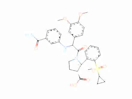 CC[C@]1(c2ccccc2S(=O)(=O)C2CC2)[C@@H](C(=O)O)CCN1C(=O)C(Nc1cccc(C(N)=O)c1)c1ccc(OC)c(OC)c1